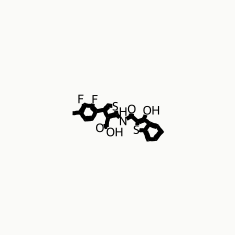 Cc1ccc(-c2csc(NC(=O)c3sc4ccccc4c3O)c2C(=O)O)c(F)c1F